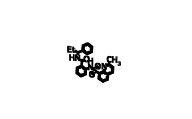 CCC(NC(=O)c1ccccc1NS(=O)(=O)c1cccc2ccc(C)nc12)c1ccccc1